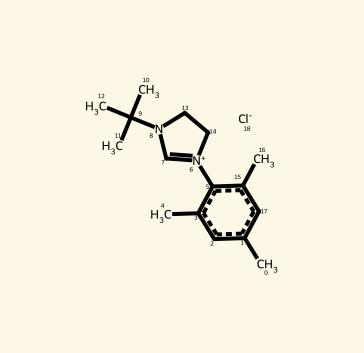 Cc1cc(C)c([N+]2=CN(C(C)(C)C)CC2)c(C)c1.[Cl-]